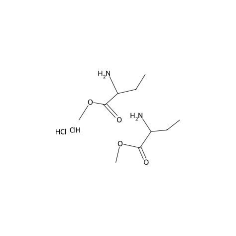 CCC(N)C(=O)OC.CCC(N)C(=O)OC.Cl.Cl